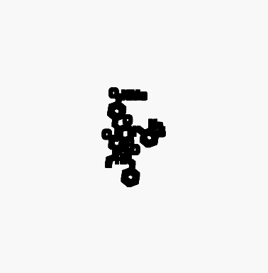 C=CCN1CC(=O)N2[C@@H](Cc3ccc(C(=O)NC)cc3)C(=O)N(Cc3cccc4scnc34)C[C@@H]2N1C(=O)NCc1ccccc1